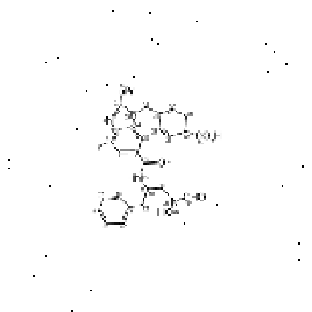 CCCc1nc2c(C)cc(C(=O)N[C@H](Cc3ccccc3)CN(O)C=O)cc2n1Cc1ccc(C(=O)O)cc1